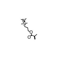 C=C(C)C(=O)OCCC[Si](C)(C)N(C)C